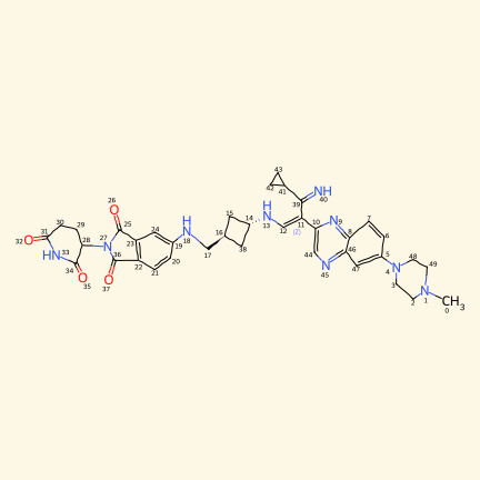 CN1CCN(c2ccc3nc(/C(=C/N[C@H]4C[C@H](CNc5ccc6c(c5)C(=O)N(C5CCC(=O)NC5=O)C6=O)C4)C(=N)C4CC4)cnc3c2)CC1